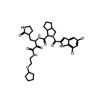 O=C(NCCOC1CCCC1)C(=O)C(CC1CCNC1=O)NC(=O)C1C2CCCC2CN1C(=O)c1cc2cc(Cl)cc(Cl)c2[nH]1